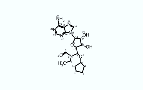 CCN(C=O)C(OC1CCCC1)[C@H]1O[C@@H](n2cnc3c(N)ncnc32)[C@H](O)[C@@H]1O